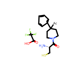 CC(=O)C1(c2ccccc2)CCN(C(=O)[C@@H](N)CS)CC1.O=C(O)C(F)(F)F